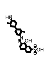 CNc1ccc(-c2ccc(N=Nc3ccc4ccc(S(=O)(=O)O)cc4c3O)c(C)c2)cc1C